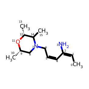 C/C=C(N)\C=C/CN1C[C@H](C)O[C@H](C)C1C